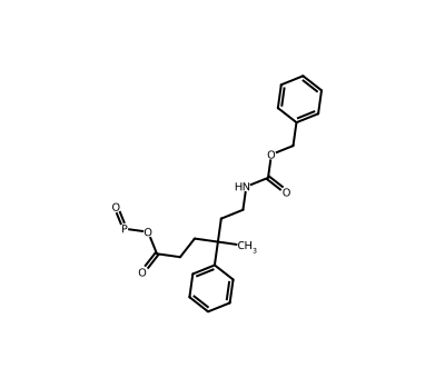 CC(CCNC(=O)OCc1ccccc1)(CCC(=O)OP=O)c1ccccc1